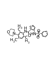 Cc1cc(C)c(N2CCOCC2)c(C)c1NC(=O)c1sccc1NS(=O)(=O)c1ccccc1